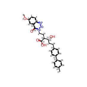 COc1ccc2nnn(CC[C@H](C(=O)O)[C@H](O)CCc3ccc(-c4ccc(C)cc4)cc3)c(=O)c2c1